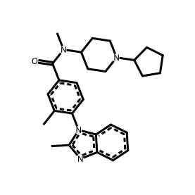 Cc1cc(C(=O)N(C)C2CCN(C3CCCC3)CC2)ccc1-n1c(C)nc2ccccc21